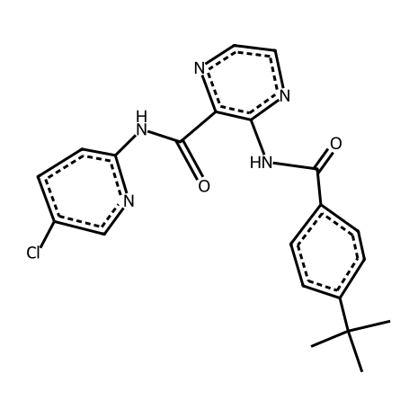 CC(C)(C)c1ccc(C(=O)Nc2nccnc2C(=O)Nc2ccc(Cl)cn2)cc1